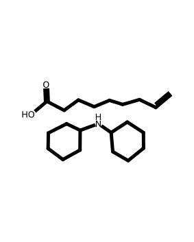 C1CCC(NC2CCCCC2)CC1.C=CCCCCCCC(=O)O